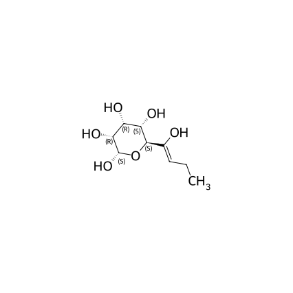 CCC=C(O)[C@H]1O[C@H](O)[C@H](O)[C@H](O)[C@@H]1O